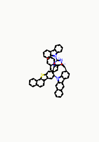 c1ccc2cc3c(cc2c1)c1ccc2cc1n3-c1cc3c(cc1/C1=N/C(n4c5ccccc5c5ccccc54)=N\C(c4cccc5ccccc45)=C/2CC1)sc1c2ccccc2ccc31